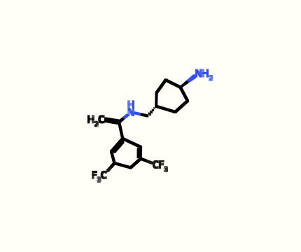 C=C(NC[C@H]1CC[C@H](N)CC1)C1=CC(C(F)(F)F)CC(C(F)(F)F)=C1